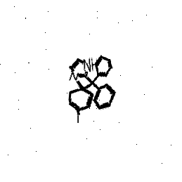 CC1(C(c2ccccc2)(c2ccccc2)c2ncc[nH]2)C=CC(I)=CC1